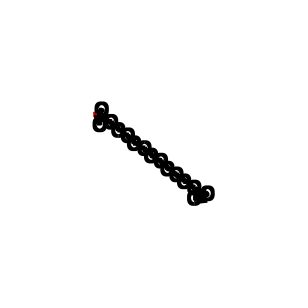 O=C1C=CC(=O)N1CCOCCOCCOCCOCCOCCOCCOCCOCCOCCOCCOCCN1C(=O)C=CC1=O